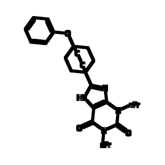 CCCn1c(=O)c2[nH]c(C34CCC(Oc5ccccc5)(CC3)CC4)nc2n(CCC)c1=O